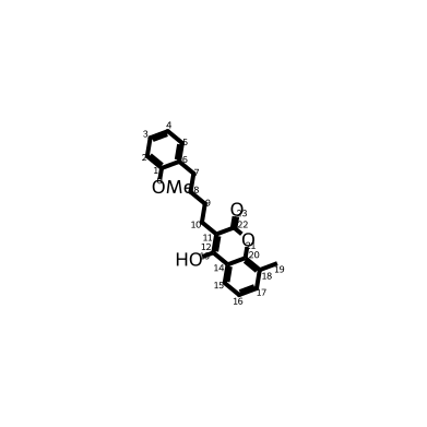 COc1ccccc1CCCCc1c(O)c2cccc(C)c2oc1=O